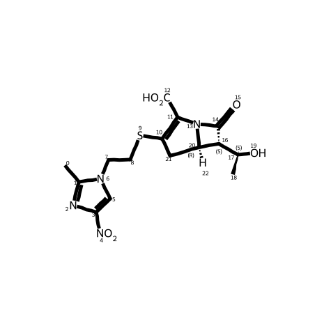 Cc1nc([N+](=O)[O-])cn1CCSC1=C(C(=O)O)N2C(=O)[C@H]([C@H](C)O)[C@H]2C1